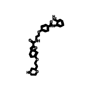 Nc1ccccc1NC(=O)c1ccc(OCCNC(=O)c2cc3ccc(OCCC4CNCCO4)cc3o2)cc1